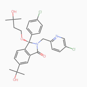 CC(C)(O)CCO[C@]1(c2ccc(Cl)cc2)c2ccc(C(C)(C)O)cc2C(=O)N1Cc1ccc(Cl)cn1